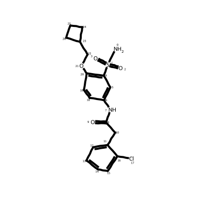 NS(=O)(=O)c1cc(NC(=O)Cc2ccccc2Cl)ccc1OCC1CCC1